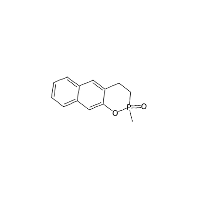 CP1(=O)CCc2cc3ccccc3cc2O1